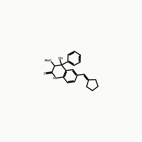 COC1C(=O)Nc2ccc(C=C3CCCC3)cc2C1(O)c1ccccc1